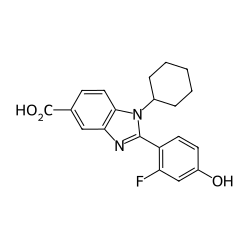 O=C(O)c1ccc2c(c1)nc(-c1ccc(O)cc1F)n2C1CCCCC1